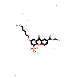 CCCCCCOc1cc(S(C)(=O)=O)c2oc3ccc(C(=O)OCC)cc3c(=O)c2c1